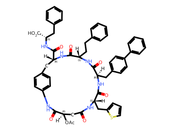 CC(=O)O[C@@H]1CC(=O)N[C@@H](Cc2cccs2)C(=O)N[C@H](Cc2ccc(-c3ccccc3)cc2)C(=O)N[C@@H](CCc2ccccc2)C(=O)N[C@@H](C(=O)N[C@@H](Cc2ccccc2)C(=O)O)Cc2ccc(cc2)NC1=O